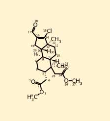 COC(=O)C[C@@H]1CC[C@@H]2[C@H](CC[C@]3(C)C(Cl)=C(C=O)C[C@@H]23)[C@@]1(C)CC(=O)OC